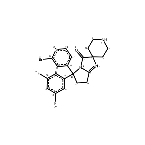 O=C1N2C(=NC13CCNCC3)CCC2(c1cc(F)cc(F)c1)c1ccnc(Br)c1